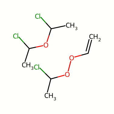 C=COOC(C)Cl.CC(Cl)OC(C)Cl